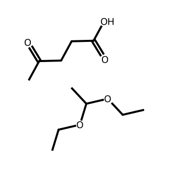 CC(=O)CCC(=O)O.CCOC(C)OCC